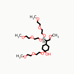 COCCOCCO[SiH](OCCOCCOC)C(COC)C1CCC(O)(OCCOCCOC)CC1